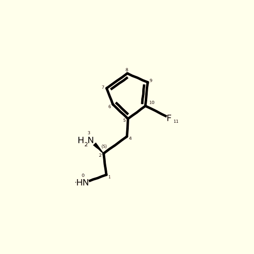 [NH]C[C@@H](N)Cc1ccccc1F